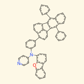 c1ccc(-c2c3c(c(-c4ccccc4)c4ccccc24)-c2ccc(-c4cccc(N(c5ccncc5)c5cccc6c5oc5ccccc56)c4)c4cccc-3c24)cc1